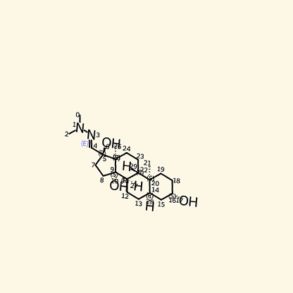 CN(C)/N=C/[C@@]1(O)CC[C@]2(O)[C@@H]3CC[C@@H]4C[C@@H](O)CC[C@]4(C)[C@H]3CC[C@]12C